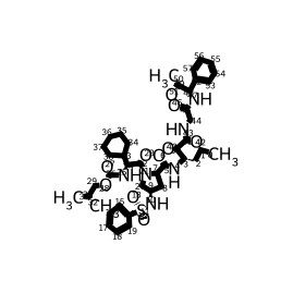 CCC[C@H](NC(=O)C1C[C@@H](NS(=O)(=O)c2ccccc2)CN1C(=O)[C@@H](NC(=O)OCC(C)C)C1CCCCC1)C(=O)C(=O)NCC(=O)N[C@H](C(C)=O)c1ccccc1